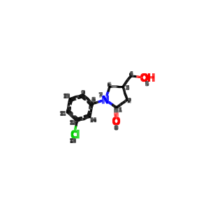 O=C1CC(CO)CN1c1cccc(Cl)c1